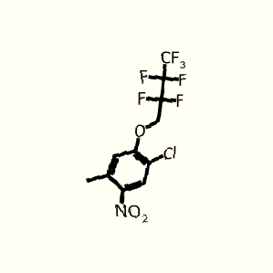 Cc1cc(OCC(F)(F)C(F)(F)C(F)(F)F)c(Cl)cc1[N+](=O)[O-]